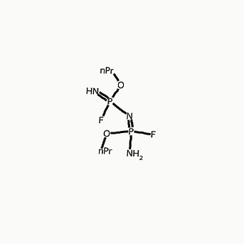 CCCOP(=N)(F)N=P(N)(F)OCCC